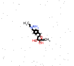 CCCN(N)Cc1ccc(CC2CC(O)C(O)C(CC)O2)cc1